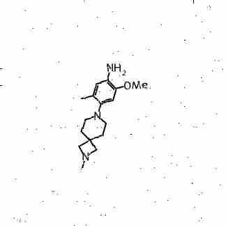 COc1cc(N2CCC3(CC2)CN(C)C3)c(C)cc1N